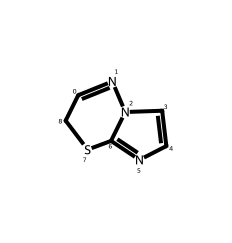 C1=Nn2ccnc2SC1